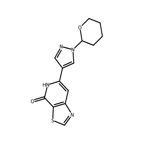 O=c1[nH]c(-c2cnn(C3CCCCO3)c2)cc2ncsc12